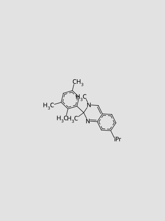 Cc1cc(C)c(C)c(C2(C)N=c3cc(C(C)C)ccc3=CN2C)c1